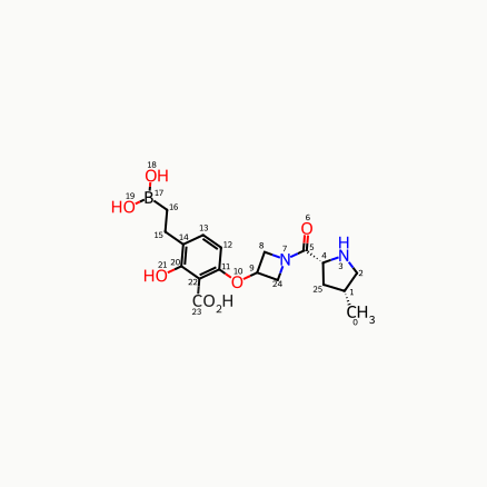 C[C@H]1CN[C@@H](C(=O)N2CC(Oc3ccc(CCB(O)O)c(O)c3C(=O)O)C2)C1